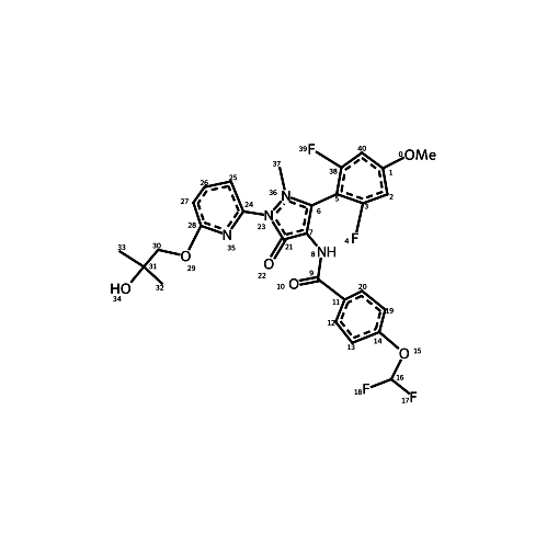 COc1cc(F)c(-c2c(NC(=O)c3ccc(OC(F)F)cc3)c(=O)n(-c3cccc(OCC(C)(C)O)n3)n2C)c(F)c1